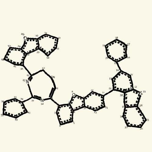 C1=C(c2cccc3c2oc2cc(-c4cc(-c5ccccc5)cc5sc6ccccc6c45)ccc23)/N=C(c2ccccc2)\N=C(\c2cccc3oc4ccccc4c23)CC\1